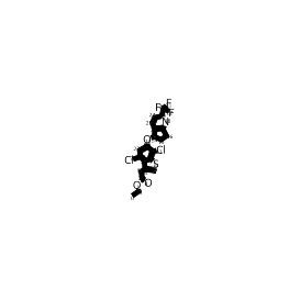 CCOC(=O)Cc1csc2c(Cl)c(OC3CCc4nc(C(F)(F)F)ccc43)cc(Cl)c12